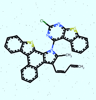 C=C/C=C\c1c(C)n(-c2nc(Cl)nc3sc4ccccc4c23)c2c3sc4ccccc4c3c3ccccc3c12